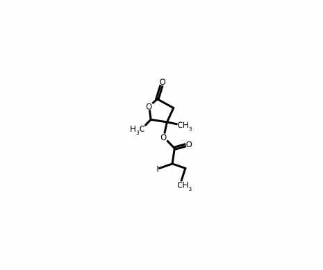 CCC(I)C(=O)OC1(C)CC(=O)OC1C